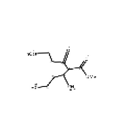 CCCCCCCCCCC(=O)C(C(=O)OC)C(C)CCO